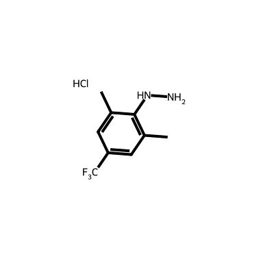 Cc1cc(C(F)(F)F)cc(C)c1NN.Cl